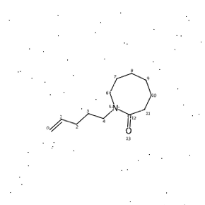 C=CCCCN1CCCCCCC1=O